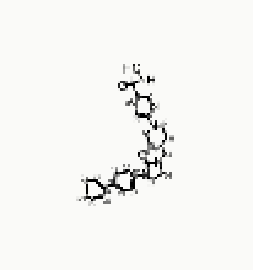 O=C(NO)c1cnc(N2CCC(CN3CCN(c4ccc(-c5ccccc5)cc4)C3=O)CC2)cn1